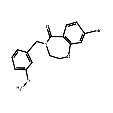 COc1cccc(CN2CCOc3cc(Br)ccc3C2=O)c1